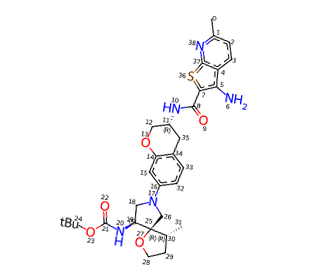 Cc1ccc2c(N)c(C(=O)N[C@H]3COc4cc(N5C[C@H](NC(=O)OC(C)(C)C)[C@@]6(C5)OCC[C@H]6C)ccc4C3)sc2n1